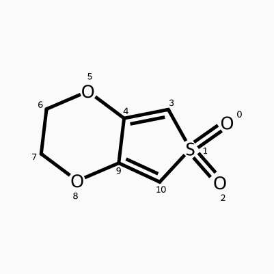 O=S1(=O)C=C2OCCOC2=C1